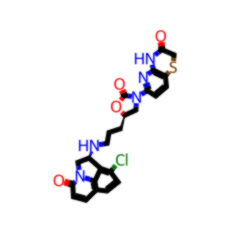 O=C1CSc2ccc(N3C[C@@H](CCCN[C@@H]4Cn5c(=O)ccc6ccc(Cl)c4c65)OC3=O)nc2N1